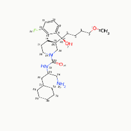 COCCCC[C@@](O)(c1cccc(F)c1)[C@@H]1CCCN(C(=O)NC(CN)CC2CCCCC2)C1